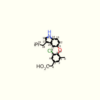 Cc1cc(CC(=O)O)cc(Cl)c1Oc1ccc2[nH]cc(CC(C)C)c2c1